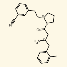 N#Cc1cccc(CC[C@@H]2CCCN2C(=O)C[C@H](N)Cc2ccccc2F)c1